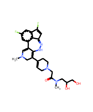 CN1C=C2C(=C(C3=CCN(CC(=O)N(C)CC(O)CO)CC3)C1)NN=C1C=C(F)c3cc(F)cc2c31